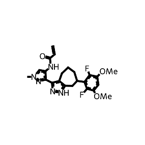 C=CC(=O)Nc1cn(C)nc1-c1n[nH]c2c1CCCC(c1c(F)c(OC)cc(OC)c1F)C2